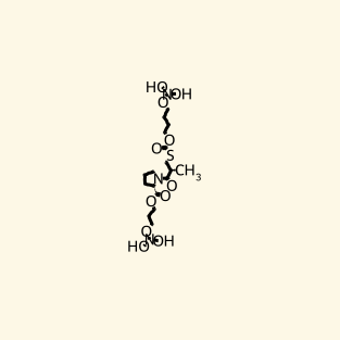 C[C@H](CSC(=O)OCCCCON(O)O)C(=O)N1CCC[C@H]1C(=O)OCCCON(O)O